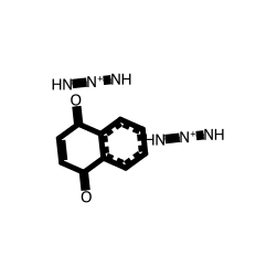 N=[N+]=N.N=[N+]=N.O=C1C=CC(=O)c2ccccc21